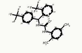 Cc1ccc(C)c(NC(=O)NC(c2ccc(C(F)(F)F)cc2)c2ncccc2C(F)(F)F)c1